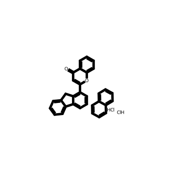 Cl.Cl.O=c1cc(-c2cccc3c2Cc2ccccc2-3)oc2ccccc12.c1ccc2ccccc2c1